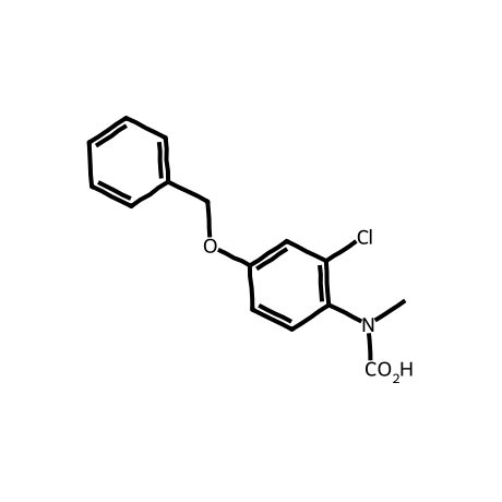 CN(C(=O)O)c1ccc(OCc2ccccc2)cc1Cl